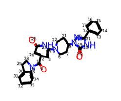 O=C(c1cc(N2CCC(n3nc(-c4ccccc4)[nH]c3=O)CC2)[nH]c(=O)c1)N1CCc2ccccc21